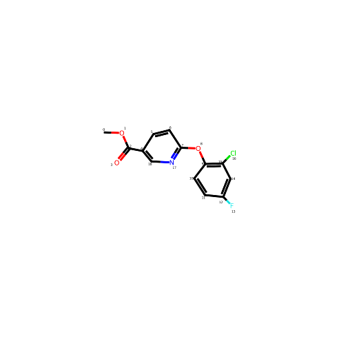 COC(=O)c1ccc(Oc2ccc(F)cc2Cl)nc1